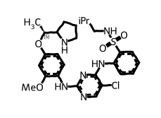 COc1cc(O[C@@H](C)C2CCCN2)ccc1Nc1ncc(Cl)c(Nc2ccccc2S(=O)(=O)NCC(C)C)n1